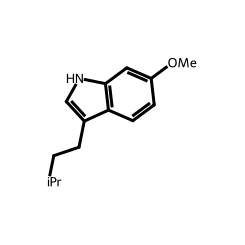 COc1ccc2c(CCC(C)C)c[nH]c2c1